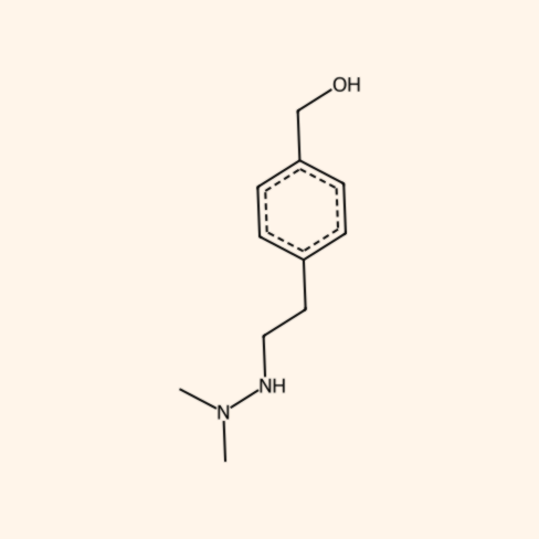 CN(C)NCCc1ccc(CO)cc1